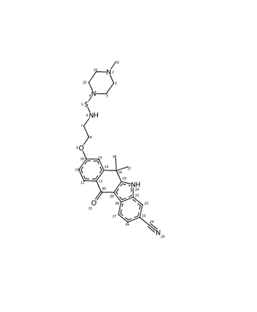 CN1CCN(SNCCOc2ccc3c(c2)C(C)(C)c2[nH]c4cc(C#N)ccc4c2C3=O)CC1